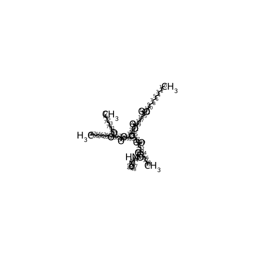 CCCCCCCCCCCCOC(=O)CCCCCC(=O)OCc1cc(COC(=O)CCC(CCCCCC)OC(=O)NCCN2CCCC2)cc(COC(=O)CCC(OCCCCCCCC)OCCCCCCCC)c1